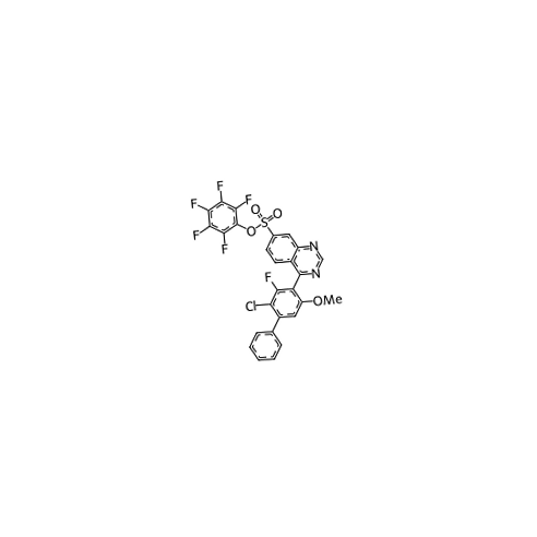 COc1cc(-c2ccccc2)c(Cl)c(F)c1-c1ncnc2cc(S(=O)(=O)Oc3c(F)c(F)c(F)c(F)c3F)ccc12